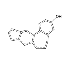 Oc1ccc2c(cccc3cc4cccc4cc32)c1